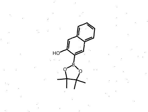 CC1(C)OB(c2cc3ccccc3cc2O)OC1(C)C